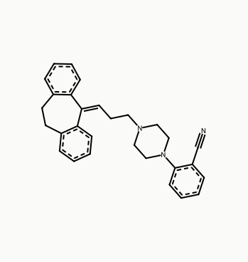 N#Cc1ccccc1N1CCN(CCC=C2c3ccccc3CCc3ccccc32)CC1